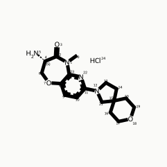 CN1C(=O)[C@@H](N)COc2ccc(N3CCC4(CCOCC4)C3)nc21.Cl